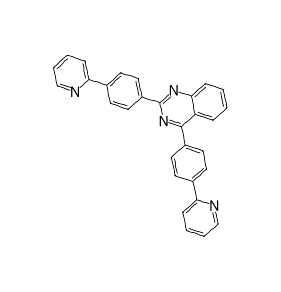 c1ccc(-c2ccc(-c3nc(-c4ccc(-c5ccccn5)cc4)c4ccccc4n3)cc2)nc1